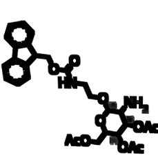 CC(=O)OCC1O[C@@H](OCCNC(=O)OCC2c3ccccc3-c3ccccc32)C(N)[C@@H](OC(C)=O)[C@H]1OC(C)=O